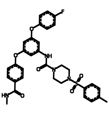 CNC(=O)c1ccc(Oc2cc(NC(=O)N3CCN(S(=O)(=O)c4ccc(C)cc4)CC3)cc(Oc3ccc(F)cc3)c2)cc1